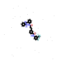 O=C(C=Cc1cccc(C(=O)Nc2ccc(F)c(C(F)(F)F)c2)c1)Nc1ccccc1-c1nc2ccccc2[nH]1